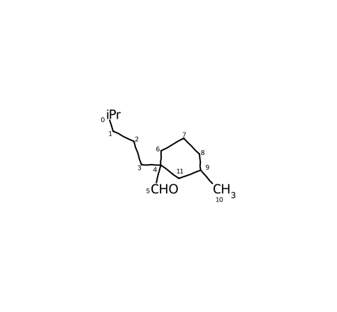 CC(C)CCCC1(C=O)CCCC(C)C1